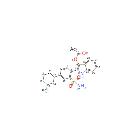 CC(=O)C(=O)Oc1c(-c2ccc(C3CCCC(Cl)C3)cc2S(N)(=O)=O)[nH]c2ccccc12